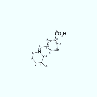 CC1CCCN(Cc2cccc(C(=O)O)c2)C1